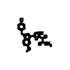 COc1ccc2c(c1)c(-c1c[nH]c(C(=O)C(N)=O)n1)cn2Cc1ccc(Cl)cc1